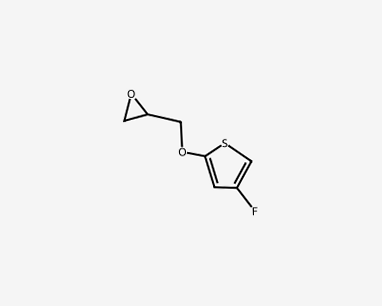 Fc1csc(OCC2CO2)c1